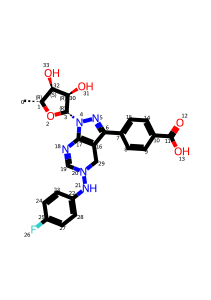 C[C@H]1O[C@@H](n2nc(-c3ccc(C(=O)O)cc3)c3c2N=CN(Nc2ccc(F)cc2)C3)[C@H](O)[C@@H]1O